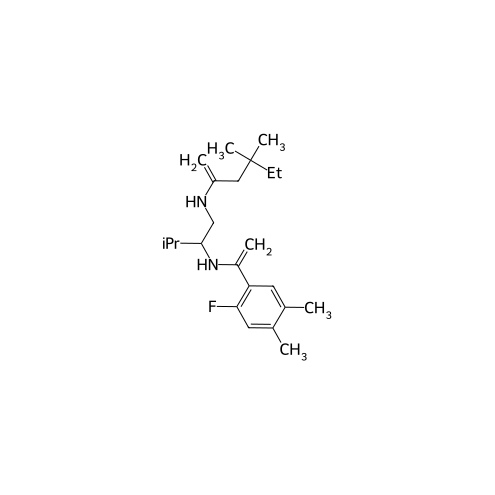 C=C(CC(C)(C)CC)NCC(NC(=C)c1cc(C)c(C)cc1F)C(C)C